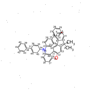 CC1(C)c2ccccc2-c2cc3c(cc21)oc1cccc(N(c2ccc(-c4ccccc4)cc2)C2C=CC(c4ccccc4)=CC2)c13